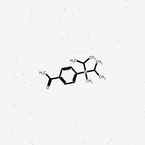 CC(=O)c1ccc([Si](C)(C(C)C)C(C)C)cc1